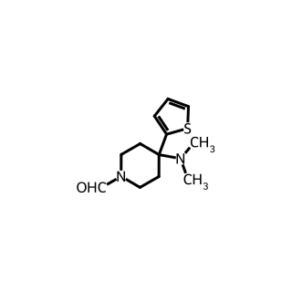 CN(C)C1(c2cccs2)CCN(C=O)CC1